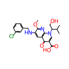 COc1nc2c(cc1NCc1cccc(Cl)c1)c(=O)c(C(=O)O)cn2C(CO)C(C)C